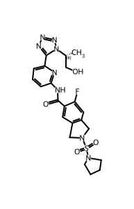 C[C@H](CO)n1nnnc1-c1cccc(NC(=O)c2cc3c(cc2F)CN(S(=O)(=O)N2CCCC2)C3)n1